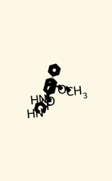 CCOC[C@]12CC3CC(C(=O)N[C@@H]4CCNC[C@H]4F)(C1)C[C@@](c1ccccc1)(C3)C2